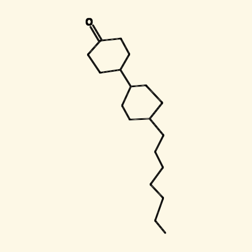 CCCCCCCC1CCC(C2CCC(=O)CC2)CC1